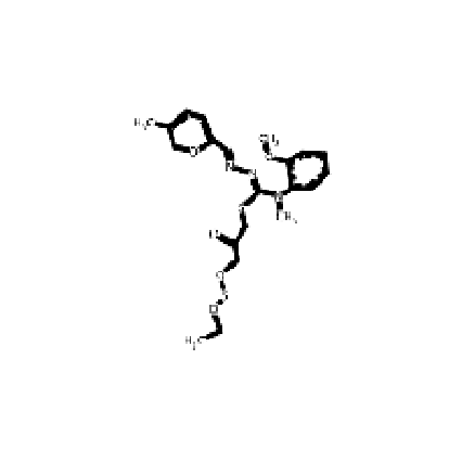 CCOSOCC(=O)CSC(=NN=CC1=CC=C(C)CO1)N(C)c1ccccc1OC